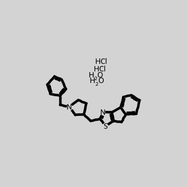 Cl.Cl.O.O.c1ccc(CN2CCC(Cc3nc4c(s3)Cc3ccccc3-4)C2)cc1